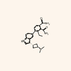 CCc1c(-c2ccc3[nH]cc([C@H]4C[C@H](N(C)C)C4)c3c2)ccc(C(N)=O)c1C(N)=O